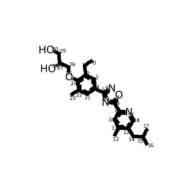 CCc1cc(-c2noc(-c3cc(C)c(CC(C)C)cn3)n2)cc(C)c1OC[C@H](O)CO